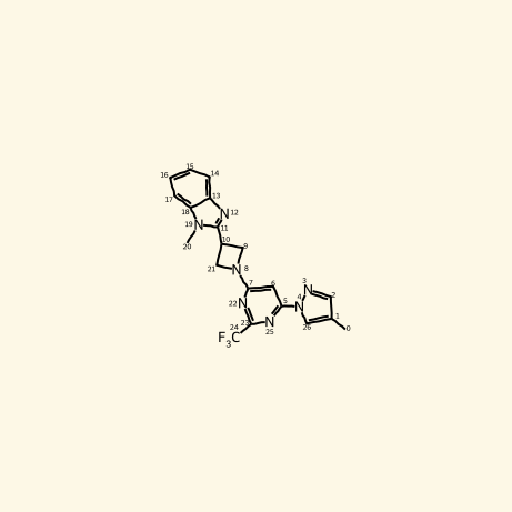 Cc1cnn(-c2cc(N3CC(c4nc5ccccc5n4C)C3)nc(C(F)(F)F)n2)c1